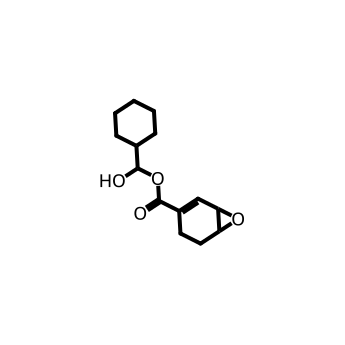 O=C(OC(O)C1CCCCC1)C1=CC2OC2CC1